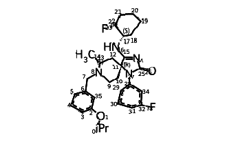 CC(C)Oc1cccc(CN2CC[C@@]3(C[C@@H]2C)C(N[C@H]2CCCC[C@H]2F)=NC(=O)N3c2cccc(F)c2)c1